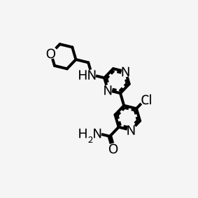 NC(=O)c1cc(-c2cncc(NCC3CCOCC3)n2)c(Cl)cn1